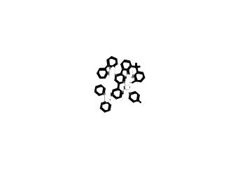 Cc1ccc(N2B3c4cccc5c4-n4c6c(cccc6c6c(-n7c8ccccc8c8ccccc87)cc(c3c64)-c3cc(N(c4ccccc4)c4ccccc4)ccc32)C5(C)C)cc1